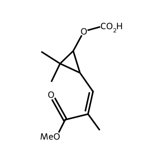 COC(=O)C(C)=CC1C(OC(=O)O)C1(C)C